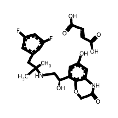 CC(C)(Cc1cc(F)cc(F)c1)NC[C@H](O)c1cc(O)cc2c1OCC(=O)N2.O=C(O)/C=C/C(=O)O